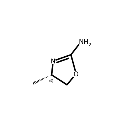 C[C@H]1COC(N)=N1